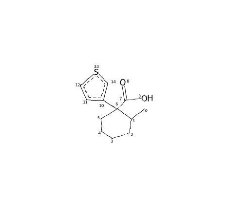 CC1CCCCC1(C(=O)O)c1ccsc1